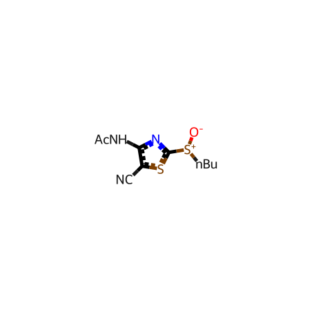 CCCC[S+]([O-])c1nc(NC(C)=O)c(C#N)s1